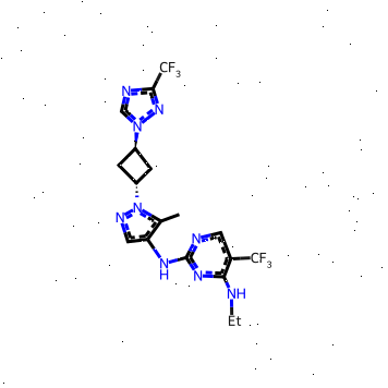 CCNc1nc(Nc2cnn([C@H]3C[C@H](n4cnc(C(F)(F)F)n4)C3)c2C)ncc1C(F)(F)F